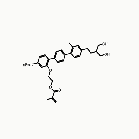 C=C(C)C(=O)OCCOc1cc(CCCCC)ccc1-c1ccc(-c2ccc(CCC(CO)CO)cc2C)cc1